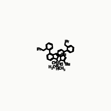 CCC(C)C1=Cc2c(-c3ccccc3CC(C)C)cccc2[CH]1[Hf]([Cl])([Cl])([CH]1C(C(C)CC)=Cc2c(-c3ccccc3CC(C)C)cccc21)[SiH](C)C